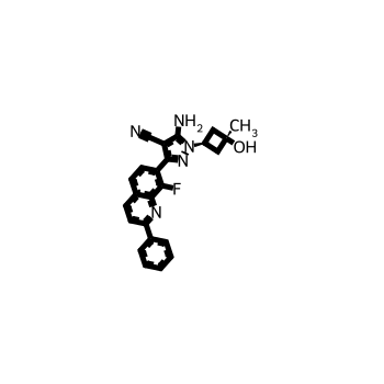 C[C@]1(O)C[C@@H](n2nc(-c3ccc4ccc(-c5ccccc5)nc4c3F)c(C#N)c2N)C1